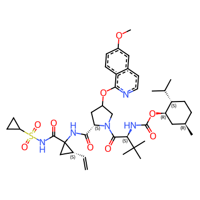 C=C[C@@H]1CC1(NC(=O)[C@@H]1CC(Oc2nccc3cc(OC)ccc23)CN1C(=O)[C@@H](NC(=O)O[C@@H]1C[C@H](C)CC[C@H]1C(C)C)C(C)(C)C)C(=O)NS(=O)(=O)C1CC1